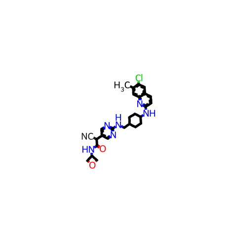 Cc1cc2nc(NC3CCC(CNc4ncc(C(C#N)C(=O)NC5COC5)cn4)CC3)ccc2cc1Cl